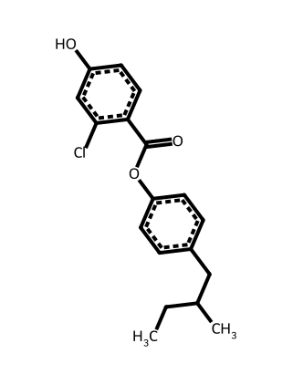 CCC(C)Cc1ccc(OC(=O)c2ccc(O)cc2Cl)cc1